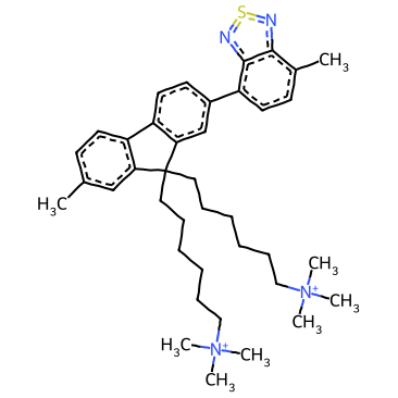 Cc1ccc2c(c1)C(CCCCCC[N+](C)(C)C)(CCCCCC[N+](C)(C)C)c1cc(-c3ccc(C)c4nsnc34)ccc1-2